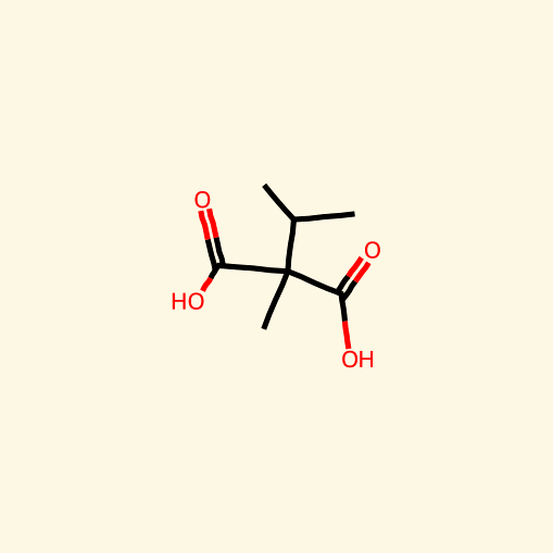 CC(C)C(C)(C(=O)O)C(=O)O